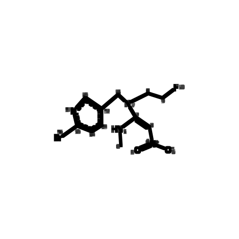 CNC(=C[N+](=O)[O-])N(CCF)Cc1ccc(Br)nc1